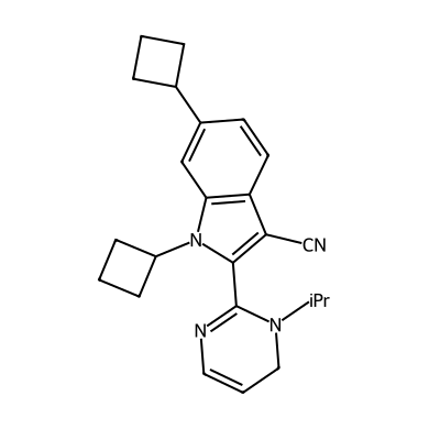 CC(C)N1CC=CN=C1c1c(C#N)c2ccc(C3CCC3)cc2n1C1CCC1